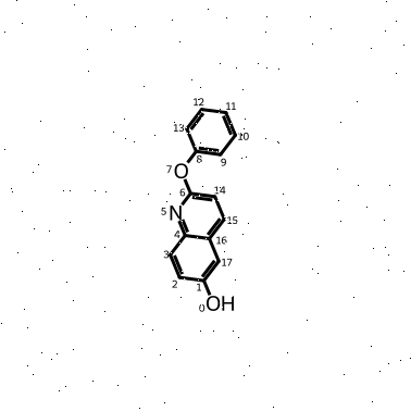 Oc1ccc2nc(Oc3ccccc3)ccc2c1